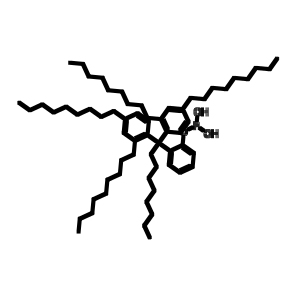 CCCCCCCCCc1ccc(C(CCCCCCCC)(c2ccc(CCCCCCCCC)cc2CCCCCCCCC)c2ccccc2OP(O)O)c(CCCCCCCCC)c1